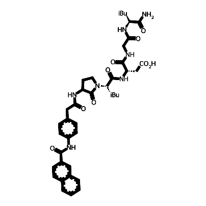 CC[C@H](C)[C@H](NC(=O)CNC(=O)[C@H](CC(=O)O)NC(=O)[C@H]([C@@H](C)CC)N1CCC(NC(=O)Cc2ccc(NC(=O)c3ccc4ccccc4c3)cc2)C1=O)C(N)=O